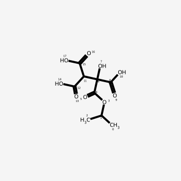 CC(C)OC(=O)C(O)(C(=O)O)C(C(=O)O)C(=O)O